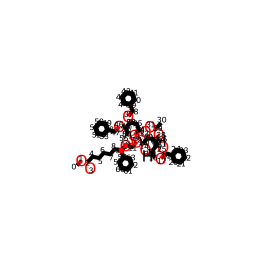 COC(=O)CCCCCCCCO[C@H]1O[C@@H]2COC(c3ccccc3)O[C@H]2[C@H](OC(C)=O)[C@H]1O[C@@H]1C[C@@H](OCc2ccccc2)[C@H](OCc2ccccc2)[C@@H](COCc2ccccc2)O1